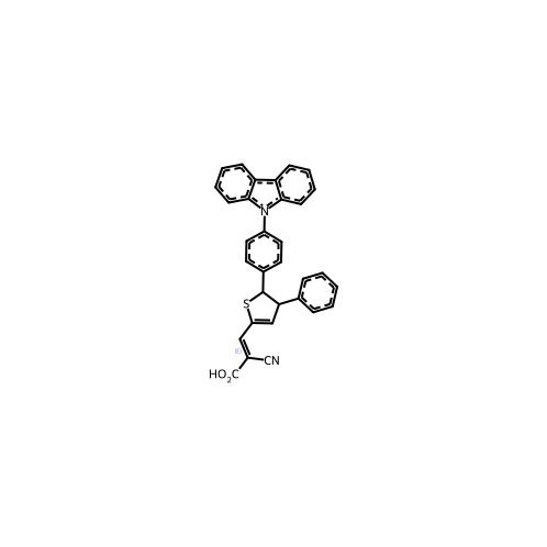 N#C/C(=C\C1=CC(c2ccccc2)C(c2ccc(-n3c4ccccc4c4ccccc43)cc2)S1)C(=O)O